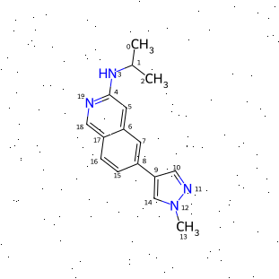 CC(C)Nc1cc2cc(-c3cnn(C)c3)ccc2cn1